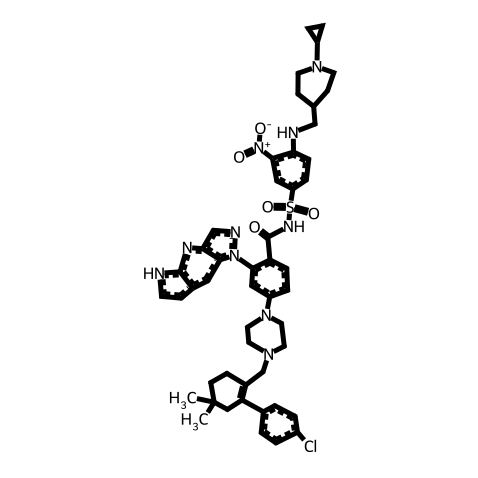 CC1(C)CCC(CN2CCN(c3ccc(C(=O)NS(=O)(=O)c4ccc(NCC5CCN(C6CC6)CC5)c([N+](=O)[O-])c4)c(-n4ncc5nc6[nH]ccc6cc54)c3)CC2)=C(c2ccc(Cl)cc2)C1